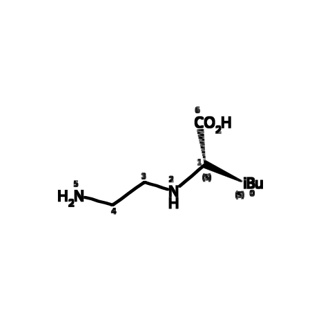 CC[C@H](C)[C@H](NCCN)C(=O)O